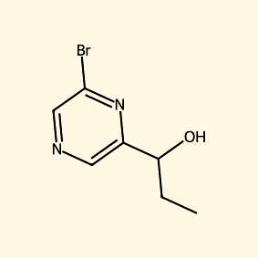 CCC(O)c1cncc(Br)n1